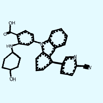 N#Cc1ccc(-c2cccc3c2c2ccccc2n3-c2ccc(C(=O)O)c(NC3CCC(O)CC3)c2)cn1